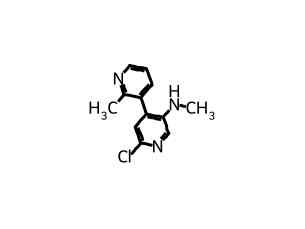 CNc1cnc(Cl)cc1-c1cccnc1C